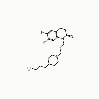 CCCCC1CCN(CCCN2C(=O)CCc3cc(F)c(F)cc32)CC1